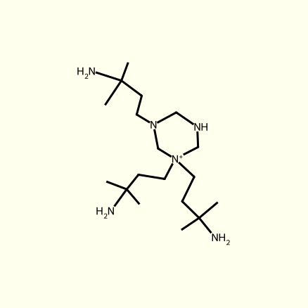 CC(C)(N)CCN1CNC[N+](CCC(C)(C)N)(CCC(C)(C)N)C1